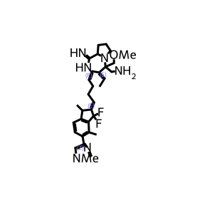 C=N/C(=C\NC)c1ccc2c(c1C)C(F)(F)/C(=C/CC/C=C1/NC(=N)C3CCCN3C(CN)(COC)/C1=C/C)C2C